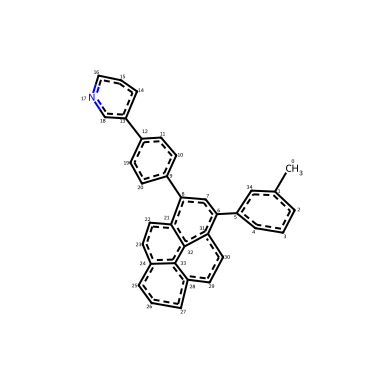 Cc1cccc(-c2cc(-c3ccc(-c4cccnc4)cc3)c3ccc4cccc5ccc2c3c45)c1